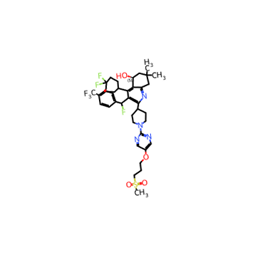 CC1(C)Cc2nc(C3CCN(c4ncc(OCCCS(C)(=O)=O)cn4)CC3)c(C(F)c3ccc(C(F)(F)F)cc3)c(C3CCC(F)(F)CC3)c2[C@@H](O)C1